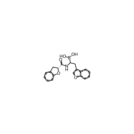 O=C(NC(Cc1coc2ccccc12)B(O)O)[C@H]1Cc2ccccc2O1